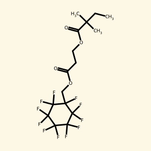 CCC(C)(C)C(=O)OCCC(=O)OCC1(F)C(F)(F)C(F)(F)C(F)(F)C(F)(F)C1(F)F